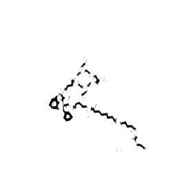 NC(=O)CN1CCN(CC(N)=O)CCN([C@@H](CCC(=O)N[C@H](Cc2ccc(O)c(I)c2)C(=O)N[C@H](Cc2ccccc2)C(=O)N[C@H](CCCCNC(=O)CCCCCCC(=O)NCCCC[C@H](NC(=O)N[C@@H](CCC(=O)O)C(=O)O)C(=O)O)C(=O)O)C(=O)O)CCN(CC(N)=O)CC1